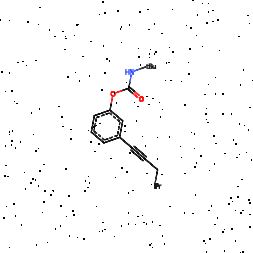 CC(C)CC#Cc1cccc(OC(=O)NC(C)(C)C)c1